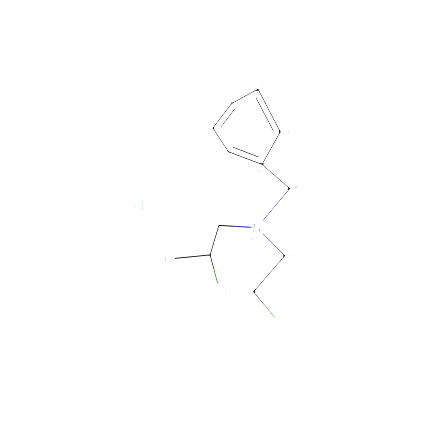 CC(Cl)CN(CCCl)Cc1ccccc1.Cl